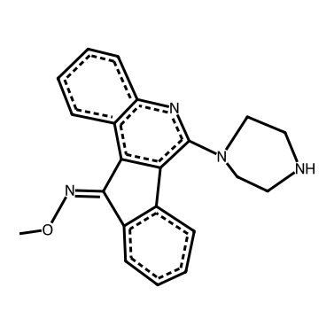 CON=C1c2ccccc2-c2c(N3CCNCC3)nc3ccccc3c21